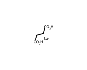 O=C(O)CCC(=O)O.[La]